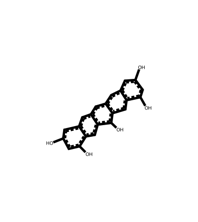 Oc1cc(O)c2cc3c(O)c4cc5c(O)cc(O)cc5cc4cc3cc2c1